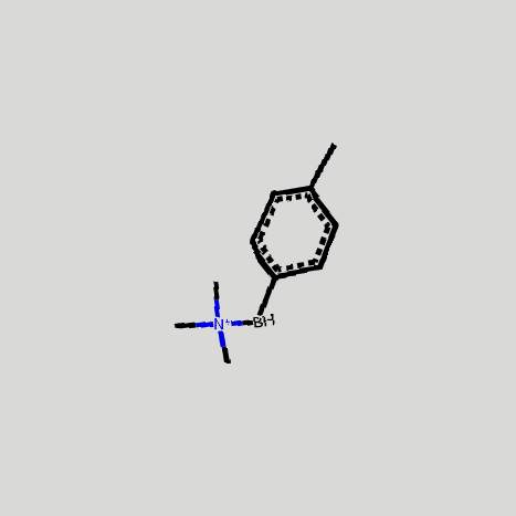 Cc1ccc(B[N+](C)(C)C)cc1